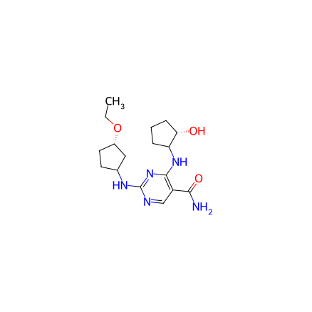 CCO[C@H]1CCC(Nc2ncc(C(N)=O)c(NC3CCC[C@@H]3O)n2)C1